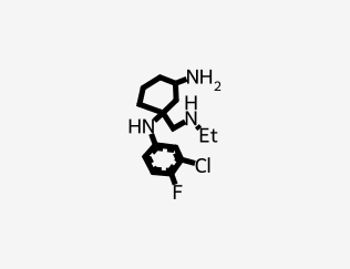 CCNCC1(Nc2ccc(F)c(Cl)c2)CCCC(N)C1